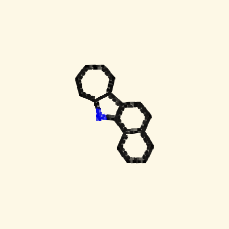 c1ccc2nc3c(ccc4ccccc43)c-2cc1